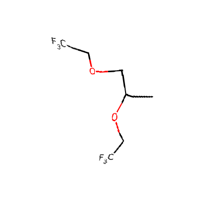 CC(COCC(F)(F)F)OCC(F)(F)F